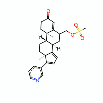 C[C@]12CC[C@H]3[C@@H](CC(COS(C)(=O)=O)C4=CC(=O)CC[C@@]43C)C1=CC=C2c1cccnc1